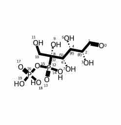 O=C[C@H](O)[C@@H](O)[C@H](O)[C@](O)(CO)P(=O)(O)OP(=O)(O)O